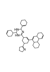 C1=CC2C(C=C(C3=CC(C4=NC(C5=CCCCC5)NC(C5CC=CCC5)N4)CC(C4=NCCC4)C3)C3CCCCC32)CC1